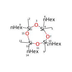 CCCCCC[Si]1(C)O[Si](C)(CCCCCC)O[Si](C)(CCCCCC)O[Si](C)(CCCCCC)O1